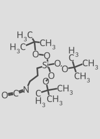 CC(C)(C)OO[Si](CCCN=C=O)(OOC(C)(C)C)OOC(C)(C)C